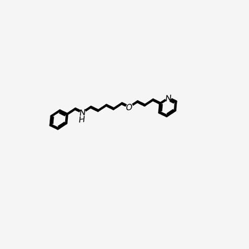 c1ccc(CNCCCCCOCCCc2ccccn2)cc1